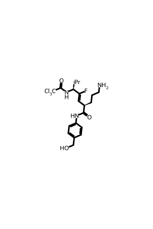 CC(C)[C@H](NC(=O)C(Cl)(Cl)Cl)/C(F)=C/[C@@H](CCCN)C(=O)Nc1ccc(CO)cc1